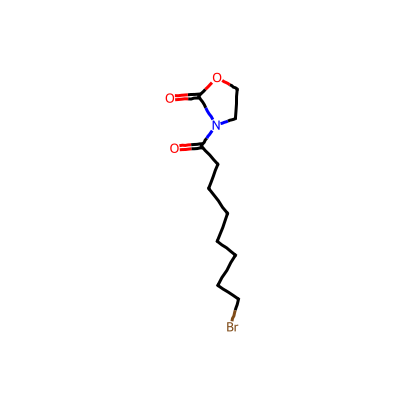 O=C(CCCCCCCBr)N1CCOC1=O